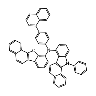 c1ccc(-n2c3cccc(N(c4ccc(-c5cccc6ccccc56)cc4)c4cccc5c4oc4c6ccccc6ccc54)c3c3ccc4ccccc4c32)cc1